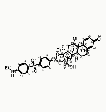 CCNc1ccc(S(=O)(=O)c2ccc([C@@H]3O[C@@H]4C[C@H]5[C@@H]6CCC7=CC(=O)C=C[C@]7(C)[C@H]6[C@@H](O)C[C@]5(C)[C@]4(C(=O)CO)O3)cc2)cc1